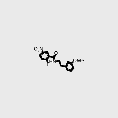 COc1cccc(CCNC(=O)c2cc([N+](=O)[O-])ccc2F)c1